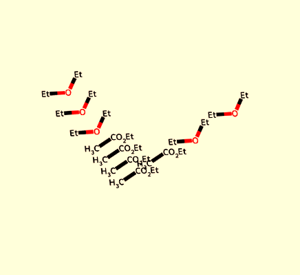 CCOC(C)=O.CCOC(C)=O.CCOC(C)=O.CCOC(C)=O.CCOC(C)=O.CCOCC.CCOCC.CCOCC.CCOCC.CCOCC